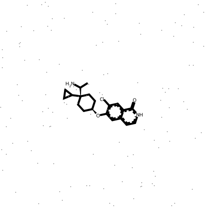 CC(N)[C@]1(C2CC2)CC[C@H](Oc2cc3cc[nH]c(=O)c3cc2Cl)CC1